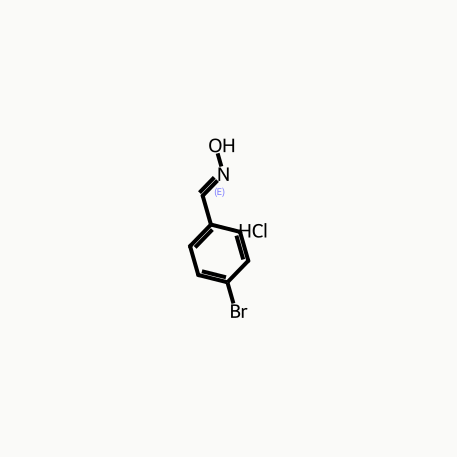 Cl.O/N=C/c1ccc(Br)cc1